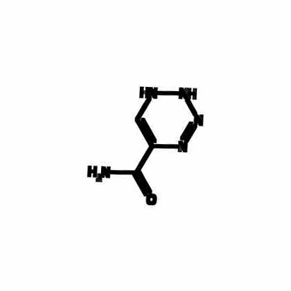 NC(=O)C1=CNNN=N1